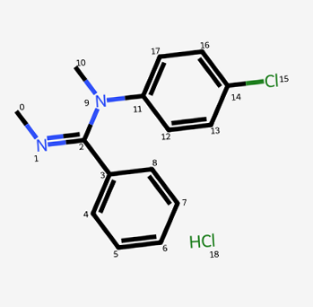 CN=C(c1ccccc1)N(C)c1ccc(Cl)cc1.Cl